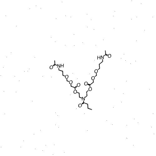 CCCC(=O)N(CCOC(=O)COCOCCCNC(C)=O)CCOC(=O)COCOCCCNC(C)=O